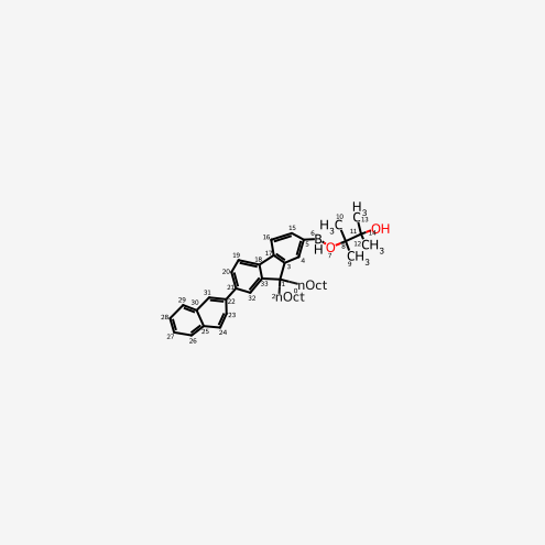 CCCCCCCCC1(CCCCCCCC)c2cc(BOC(C)(C)C(C)(C)O)ccc2-c2ccc(-c3ccc4ccccc4c3)cc21